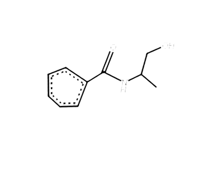 CC(CO)NC(=O)c1ccccc1